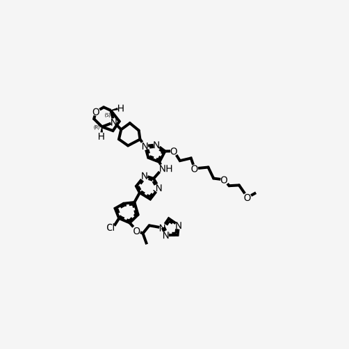 COCCOCCOCCOc1nn(C2CCC(N3[C@@H]4CC[C@H]3COC4)CC2)cc1Nc1ncc(-c2ccc(Cl)c(OC(C)Cn3cncn3)c2)cn1